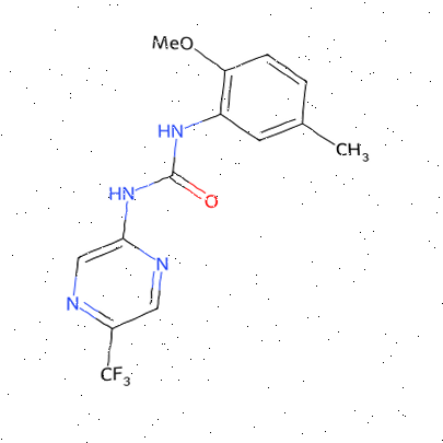 COc1ccc(C)cc1NC(=O)Nc1cnc(C(F)(F)F)cn1